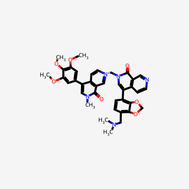 COc1cc(-c2cn(C)c(=O)c3c[n+](Cn4cc(-c5ccc(CN(C)C)c6c5OCO6)c5ccncc5c4=O)ccc23)cc(OC)c1OC